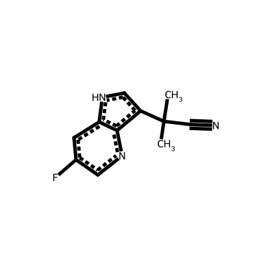 CC(C)(C#N)c1c[nH]c2cc(F)cnc12